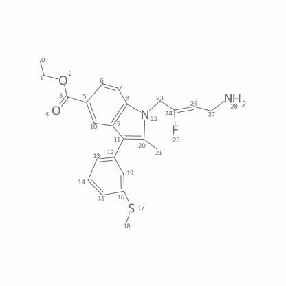 CCOC(=O)c1ccc2c(c1)c(-c1cccc(SC)c1)c(C)n2C/C(F)=C/CN